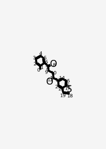 Cc1ccccc1C(=O)CCC(=O)c1ccc2sccc2c1